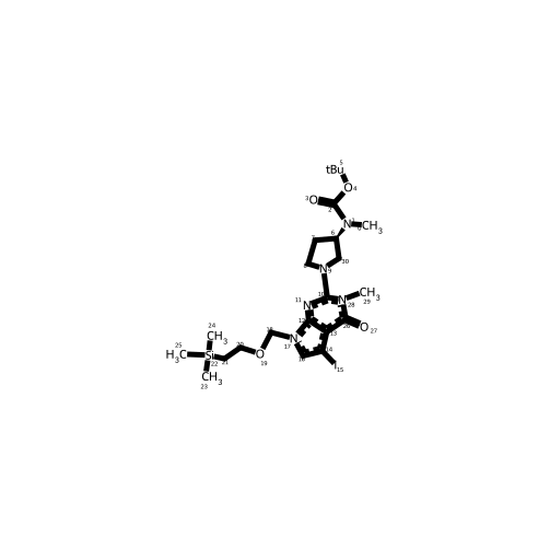 CN(C(=O)OC(C)(C)C)[C@@H]1CCN(c2nc3c(c(I)cn3COCC[Si](C)(C)C)c(=O)n2C)C1